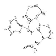 C=O.Oc1ccccc1C=C(c1ccccc1)c1ccccc1